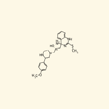 COc1ccc(C2CN(C[C@H](O)CC3(N)N=C(SC)Nc4ccccc43)CCN2)cc1